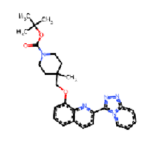 CC1(COc2cccc3ccc(-c4nnc5ccccn45)nc23)CCN(C(=O)OC(C)(C)C)CC1